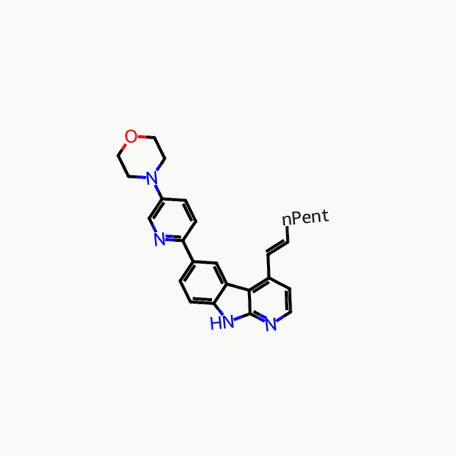 CCCCCC=Cc1ccnc2[nH]c3ccc(-c4ccc(N5CCOCC5)cn4)cc3c12